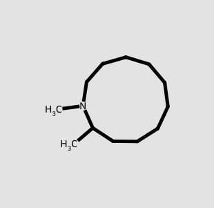 CC1CCCCCCCCCN1C